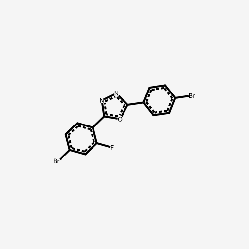 Fc1cc(Br)ccc1-c1nnc(-c2ccc(Br)cc2)o1